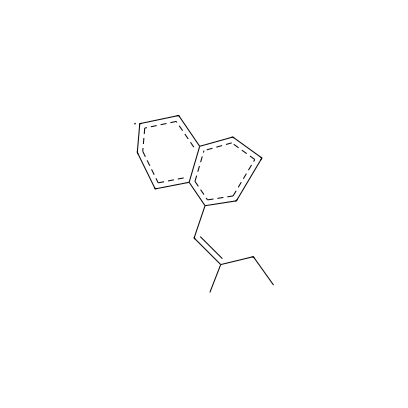 CCC(C)=Cc1cccc2c[c]ccc12